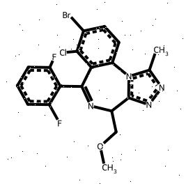 COCC1N=C(c2c(F)cccc2F)c2c(ccc(Br)c2Cl)-n2c(C)nnc21